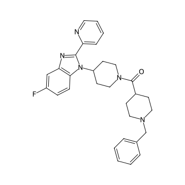 O=C(C1CCN(Cc2ccccc2)CC1)N1CCC(n2c(-c3ccccn3)nc3cc(F)ccc32)CC1